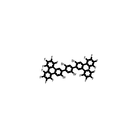 Fc1c(F)c(F)c(-c2cc(Br)c(-c3cc(Br)c(-c4cc(-c5c(F)c(F)c(F)c(F)c5F)c(-c5c(F)c(F)c(F)c(F)c5F)cc4Br)cc3Br)cc2-c2c(F)c(F)c(F)c(F)c2F)c(F)c1F